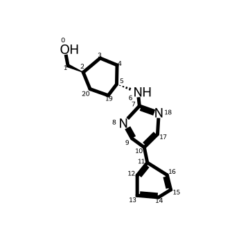 OC[C@H]1CC[C@H](Nc2ncc(-c3ccccc3)cn2)CC1